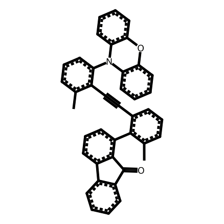 Cc1cccc(N2c3ccccc3Oc3ccccc32)c1C#Cc1cccc(C)c1-c1cccc2c1C(=O)c1ccccc1-2